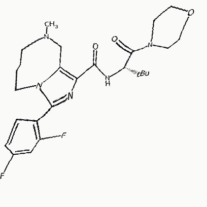 CN1CCCn2c(-c3ccc(F)cc3F)nc(C(=O)N[C@H](C(=O)N3CCOCC3)C(C)(C)C)c2C1